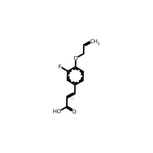 C=CCOc1ccc(/C=C/C(=O)O)cc1F